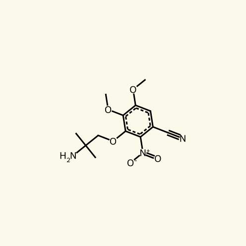 COc1cc(C#N)c([N+](=O)[O-])c(OCC(C)(C)N)c1OC